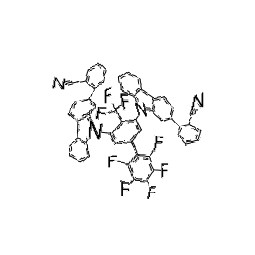 N#Cc1ccccc1-c1ccc2c3ccccc3n(-c3cc(-c4c(F)c(F)c(F)c(F)c4F)cc(-n4c5ccccc5c5ccc(-c6ccccc6C#N)cc54)c3C(F)(F)F)c2c1